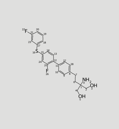 NC(CO)(CO)CCc1ccc(-c2ccc(Sc3cccc(F)c3)cc2F)cc1